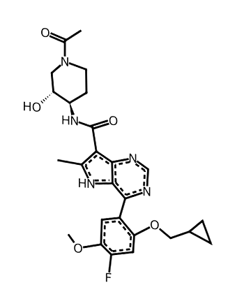 COc1cc(-c2ncnc3c(C(=O)N[C@@H]4CCN(C(C)=O)C[C@H]4O)c(C)[nH]c23)c(OCC2CC2)cc1F